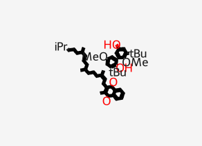 CC(=CCC1=C(C)C(=O)c2ccccc2C1=O)CCCC(C)CCCC(C)CCCC(C)C.COc1ccc(O)c(C(C)(C)C)c1.COc1ccc(O)cc1C(C)(C)C